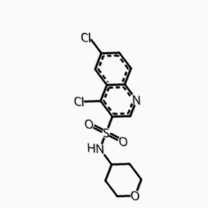 O=S(=O)(NC1CCOCC1)c1cnc2ccc(Cl)cc2c1Cl